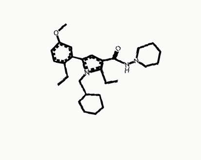 CCc1ccc(OC)cc1-c1cc(C(=O)NN2CCCCC2)c(CC)n1CC1CCCCC1